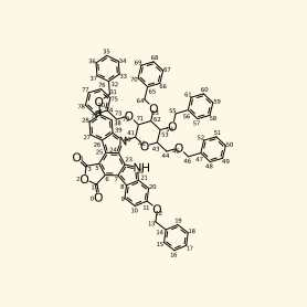 O=C1OC(=O)c2c1c1c3ccc(OCc4ccccc4)cc3[nH]c1c1c2c2ccc(OCc3ccccc3)cc2n1C1OC(COCc2ccccc2)C(OCc2ccccc2)C(OCc2ccccc2)C1OCc1ccccc1